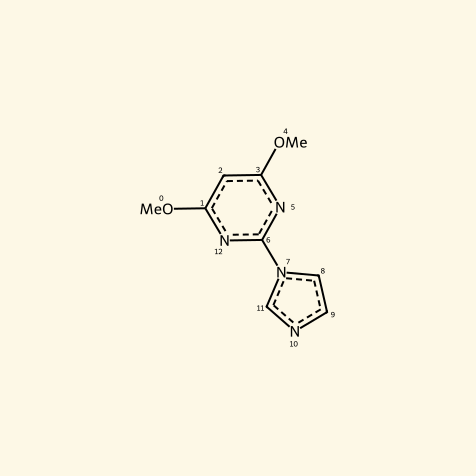 COc1cc(OC)nc(-n2ccnc2)n1